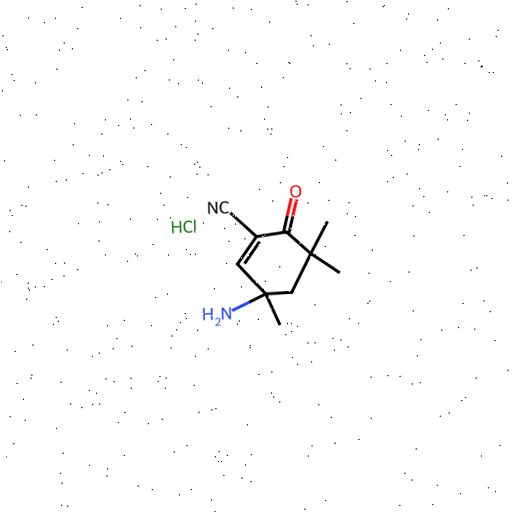 CC1(N)C=C(C#N)C(=O)C(C)(C)C1.Cl